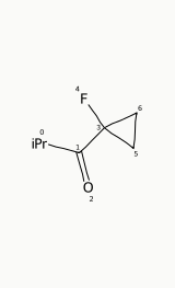 CC(C)C(=O)C1(F)CC1